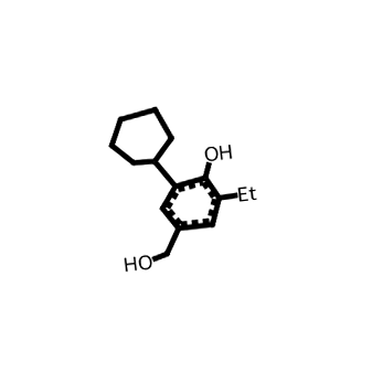 CCc1cc(CO)cc(C2CCCCC2)c1O